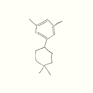 Cc1cc(C)cc(C2CCC(C)(C)CC2)c1